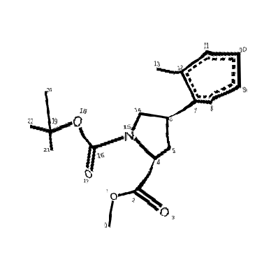 COC(=O)[C@@H]1C[C@H](c2ccccc2C)CN1C(=O)OC(C)(C)C